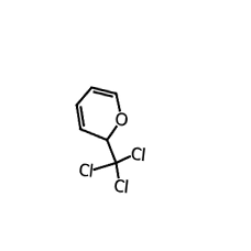 ClC(Cl)(Cl)C1C=CC=CO1